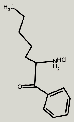 CCCCCC(N)C(=O)c1ccccc1.Cl